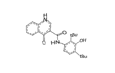 CC(C)(C)c1ccc(NC(=O)c2c[nH]c3ccccc3c2=O)c(C(C)(C)C)c1O